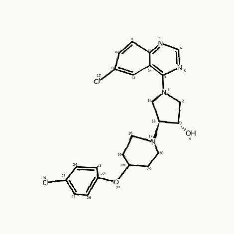 O[C@H]1CN(c2ncnc3ccc(Cl)cc23)C[C@@H]1N1CCC(Oc2ccc(Cl)cc2)CC1